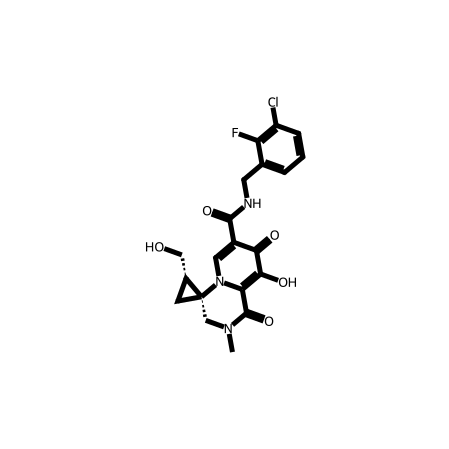 CN1C[C@@]2(C[C@@H]2CO)n2cc(C(=O)NCc3cccc(Cl)c3F)c(=O)c(O)c2C1=O